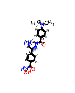 CN(/N=C(\C=N)c1ccc(C(=O)NO)cc1)C(=O)c1ccc(N(C)C)cc1